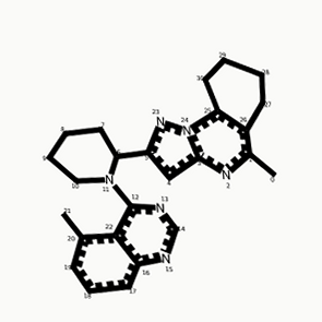 Cc1nc2cc(C3CCCCN3c3ncnc4cccc(C)c34)nn2c2c1CCCC2